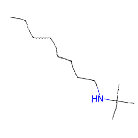 CCCCCCCCNC(C)(C)C